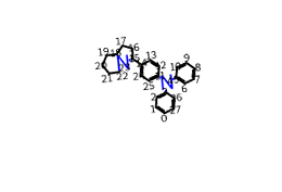 c1ccc(N(c2ccccc2)c2ccc(C3CCC4CCCCN43)cc2)cc1